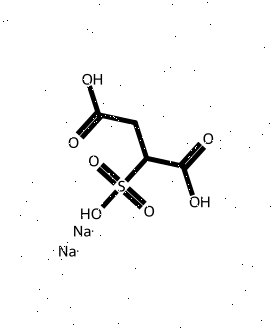 O=C(O)CC(C(=O)O)S(=O)(=O)O.[Na].[Na]